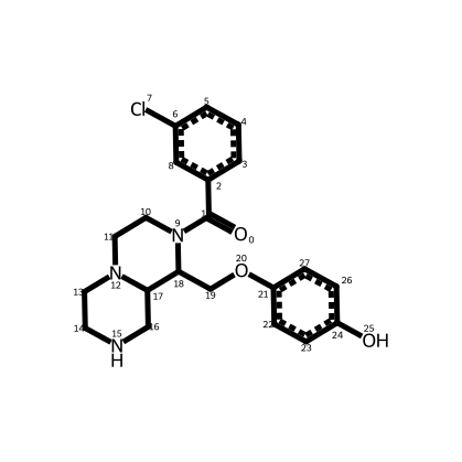 O=C(c1cccc(Cl)c1)N1CCN2CCNCC2C1COc1ccc(O)cc1